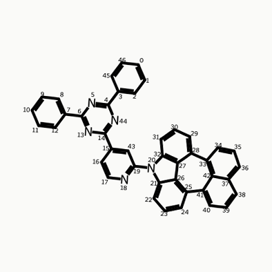 c1ccc(-c2nc(-c3ccccc3)nc(-c3ccnc(-n4c5cccc6c5c5c(cccc54)-c4cccc5cccc-6c45)c3)n2)cc1